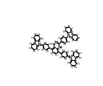 c1ccc2c(c1)c1ccccc1n2-c1ccc(-c2ncc3c(-c4ccc(-n5c6ccccc6c6ccccc65)cc4)ccc(-c4ccc(-n5c6ccccc6c6ccccc65)cc4)c3n2)cc1